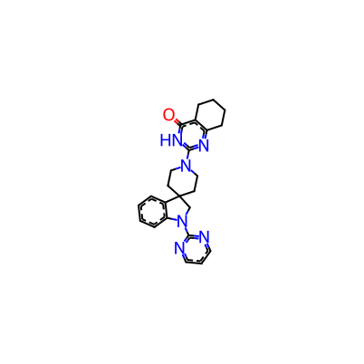 O=c1[nH]c(N2CCC3(CC2)CN(c2ncccn2)c2ccccc23)nc2c1CCCC2